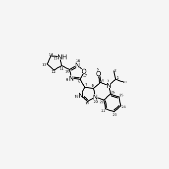 CC(C)N1C(=O)C2C(c3nc(C4CCCN4)no3)N=CN2c2ccccc21